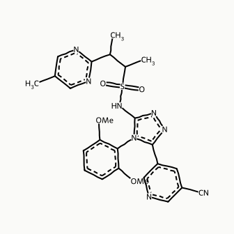 COc1cccc(OC)c1-n1c(NS(=O)(=O)C(C)C(C)c2ncc(C)cn2)nnc1-c1cncc(C#N)c1